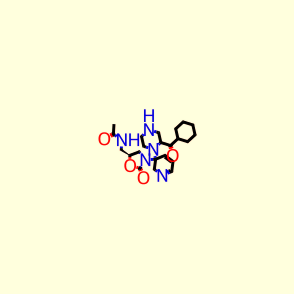 CC(=O)NC[C@H]1CN(C2(N3CCNCC3C(=O)C3CCCCC3)C=CC=NC2)C(=O)O1